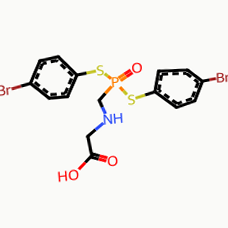 O=C(O)CNCP(=O)(Sc1ccc(Br)cc1)Sc1ccc(Br)cc1